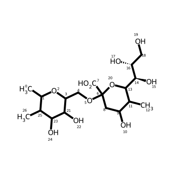 CC1OC(COC2(C(=O)O)CC(O)C(C)C([C@H](O)[C@H](O)CO)O2)C(O)C(O)C1C